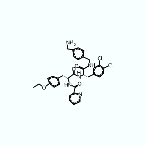 CCOc1ccc(C[C@@H](NC(=O)c2ccccn2)C(=O)N[C@@H](Cc2ccc(Cl)c(Cl)c2)C(=O)NCc2ccc(CN)cc2)cc1